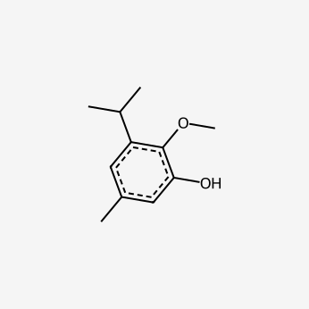 COc1c(O)cc(C)cc1C(C)C